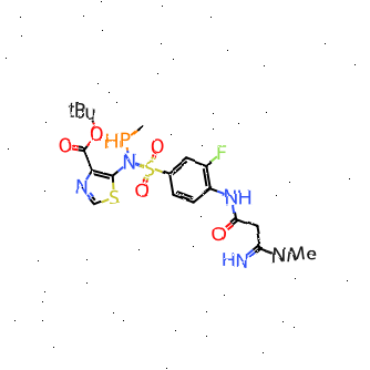 CNC(=N)CC(=O)Nc1ccc(S(=O)(=O)N(PC)c2scnc2C(=O)OC(C)(C)C)cc1F